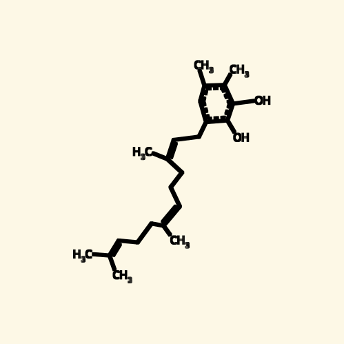 CC(C)=CCCC(C)=CCCC(C)=CCc1cc(C)c(C)c(O)c1O